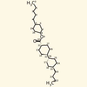 CCCCCC1CCC(OC(=O)[C@H]2CC[C@H]([C@H]3CC[C@H](CCCC)CC3)CC2)CC1